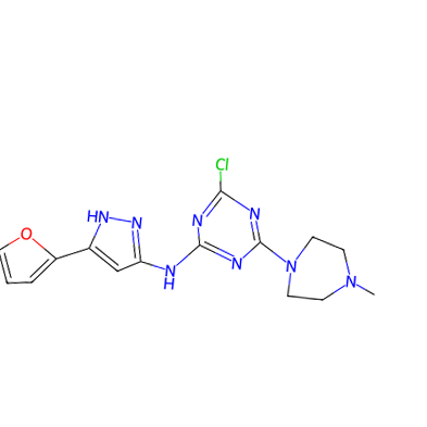 CN1CCN(c2nc(Cl)nc(Nc3cc(-c4ccco4)[nH]n3)n2)CC1